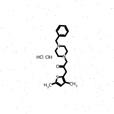 Cc1cc(C)c(CC(=O)CN2CCN(Cc3ccccc3)CC2)s1.Cl.Cl